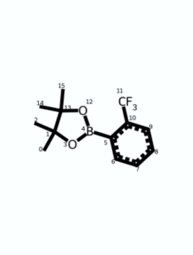 CC1(C)OB(c2ccccc2C(F)(F)F)OC1(C)C